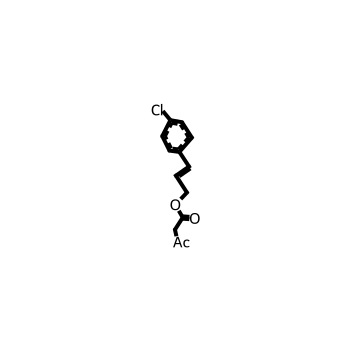 CC(=O)CC(=O)OCC=Cc1ccc(Cl)cc1